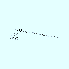 CCCCCCCCCCCCCCCCCCOC(CC)COC(=O)C(C)(C)C